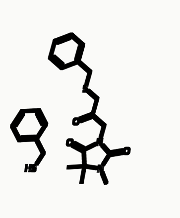 CN1C(=O)N(CC(=O)CSCc2ccccc2)C(=O)C1(C)C.SCc1ccccc1